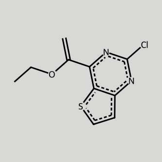 C=C(OCC)c1nc(Cl)nc2ccsc12